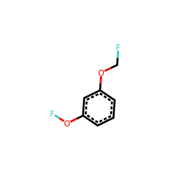 FCOc1cccc(OF)c1